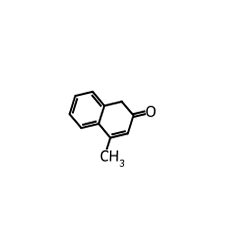 CC1=CC(=O)Cc2ccccc21